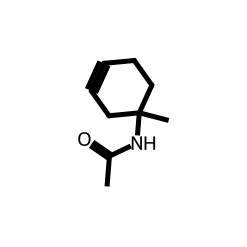 CC(=O)NC1(C)CC#CCC1